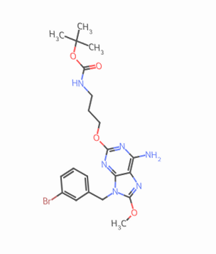 COc1nc2c(N)nc(OCCCNC(=O)OC(C)(C)C)nc2n1Cc1cccc(Br)c1